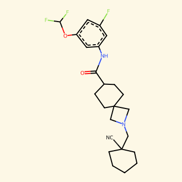 N#CC1(CN2CC3(CCC(C(=O)Nc4cc(F)cc(OC(F)F)c4)CC3)C2)CCCCC1